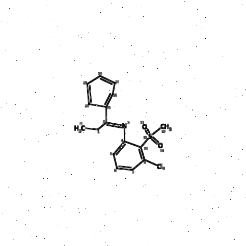 CCC(=Nc1cccc(Cl)c1S(C)(=O)=O)c1ccccc1